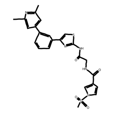 Cc1cc(-c2cccc(-c3csc(NC(=O)CNC(=O)c4ccn(S(C)(=O)=O)c4)n3)c2)cc(C)n1